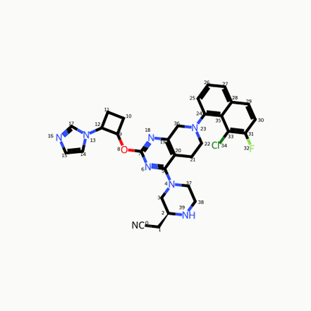 N#CC[C@H]1CN(c2nc(OC3CCC3n3ccnc3)nc3c2CCN(c2cccc4ccc(F)c(Cl)c24)C3)CCN1